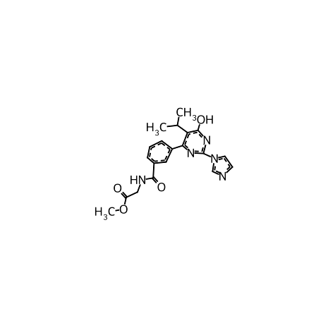 COC(=O)CNC(=O)c1cccc(-c2nc(-n3ccnc3)nc(O)c2C(C)C)c1